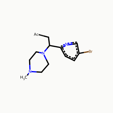 CC(=O)CC(c1ccc(Br)cn1)N1CCN(C)CC1